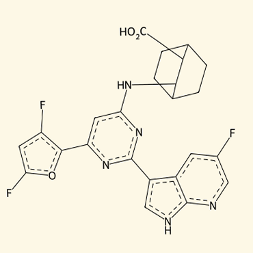 O=C(O)C1C2CCC(CC2)C1Nc1cc(-c2oc(F)cc2F)nc(-c2c[nH]c3ncc(F)cc23)n1